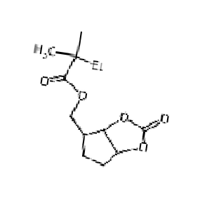 CCC(C)(I)C(=O)OCC1CCC2OC(=O)OC12